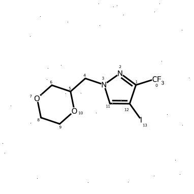 FC(F)(F)c1nn(CC2COCCO2)cc1I